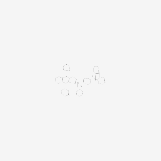 Fc1cccc(-c2c3ccccc3c(-c3cccc(F)c3)c3cc(N(c4ccccc4)c4ccc(-n5c6ccccc6c6ccccc65)cc4)ccc23)c1